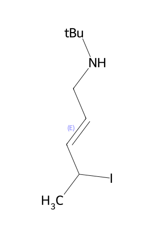 CC(I)/C=C/CNC(C)(C)C